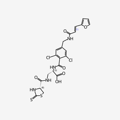 O=C(/C=C/c1ccco1)NCc1cc(Cl)c(C(=O)N[C@@H](CNC(=O)[C@@H]2CSC(=S)N2)C(=O)O)c(Cl)c1